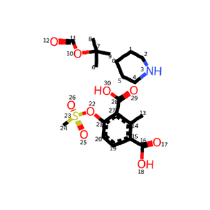 C1CCNCC1.CC(C)(C)OC=O.Cc1c(C(=O)O)ccc(OS(C)(=O)=O)c1C(=O)O